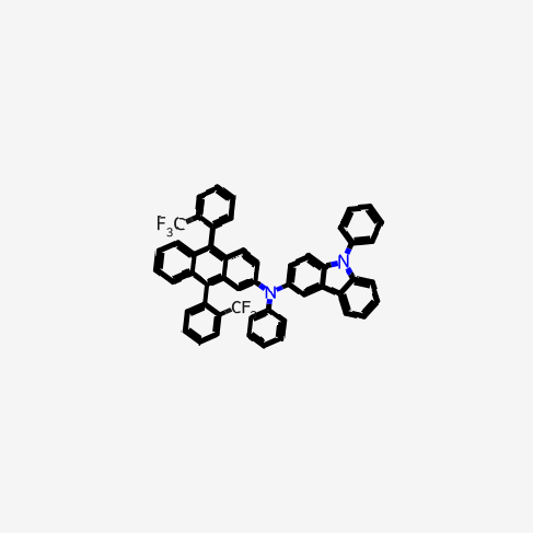 FC(F)(F)c1ccccc1-c1c2ccccc2c(-c2ccccc2C(F)(F)F)c2cc(N(c3ccccc3)c3ccc4c(c3)c3ccccc3n4-c3ccccc3)ccc12